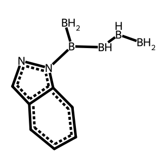 BBBB(B)n1ncc2ccccc21